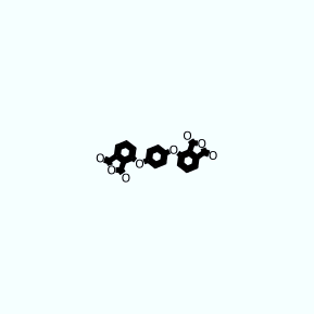 O=C1OC(=O)c2c(Oc3ccc(Oc4cccc5c4C(=O)OC5=O)cc3)cccc21